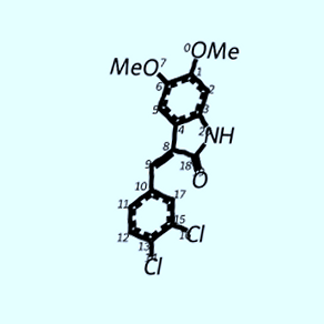 COc1cc2c(cc1OC)C(=Cc1ccc(Cl)c(Cl)c1)C(=O)N2